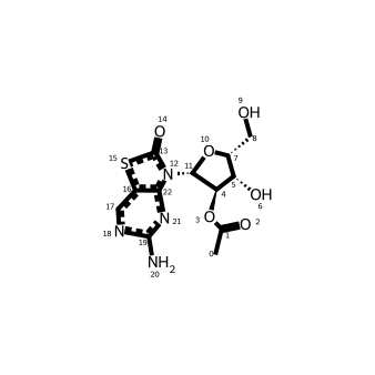 CC(=O)O[C@@H]1[C@@H](O)[C@@H](CO)O[C@H]1n1c(=O)sc2cnc(N)nc21